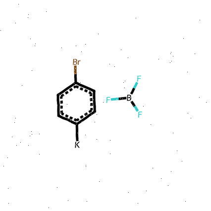 FB(F)F.[K][c]1ccc(Br)cc1